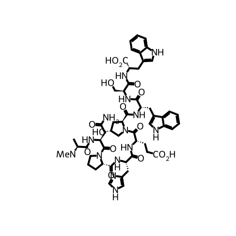 CN[C@@H](C)C(=O)N[C@@H](CC(N)=O)C(=O)N1CCC[C@H]1C(=O)N[C@@H](Cc1c[nH]cn1)C(=O)N[C@@H](CCC(=O)O)C(=O)N1C[C@H](O)C[C@H]1C(=O)N[C@@H](Cc1c[nH]c2ccccc12)C(=O)N[C@@H](CO)C(=O)N[C@@H](Cc1c[nH]c2ccccc12)C(=O)O